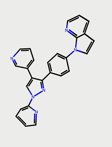 c1ccc(-n2cc(-c3cccnc3)c(-c3ccc(-n4ccc5cccnc54)cc3)n2)nc1